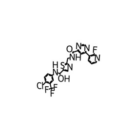 O=C(NCc1ncc(C(O)Nc2ccc(Cl)c(C(F)(F)F)c2)s1)c1cc(-c2cccnc2F)ncn1